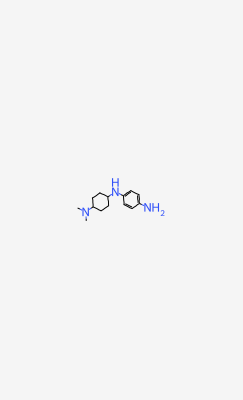 CN(C)C1CCC(Nc2ccc(N)cc2)CC1